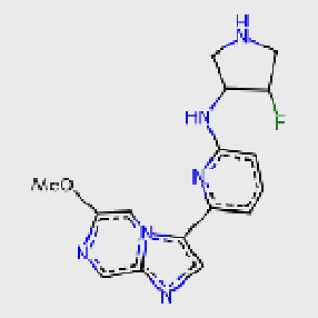 COc1cn2c(-c3cccc(NC4CNCC4F)n3)cnc2cn1